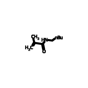 C=C(C)C(=O)NCCCCC